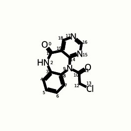 O=C1Nc2ccccc2N(C(=O)CCl)c2ncncc21